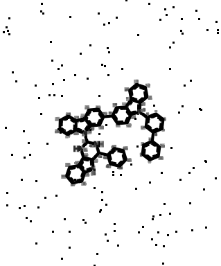 c1ccc(-c2cccc(-n3c4ccccc4c4cc(-c5ccc6c7ccccc7n(C7Nc8c(sc9ccccc89)C(c8ccccc8)N7)c6c5)ccc43)c2)cc1